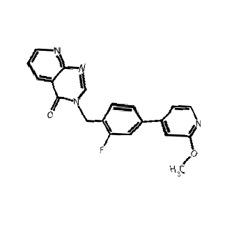 COc1cc(-c2ccc(Cn3cnc4ncccc4c3=O)c(F)c2)ccn1